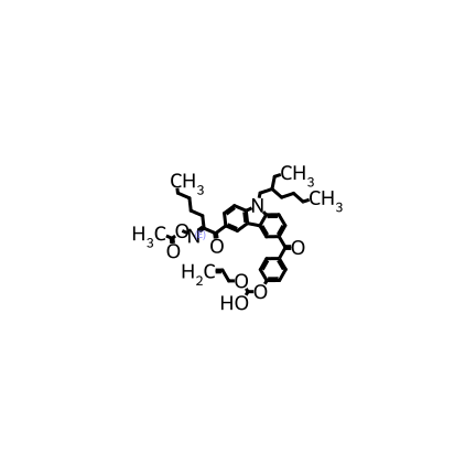 C=CCOC(O)Oc1ccc(C(=O)c2ccc3c(c2)c2cc(C(=O)/C(CCCCC)=N/OC(C)=O)ccc2n3CC(CC)CCCC)cc1